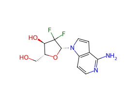 Nc1nccc2c1ccn2[C@@H]1O[C@H](CO)[C@@H](O)C1(F)F